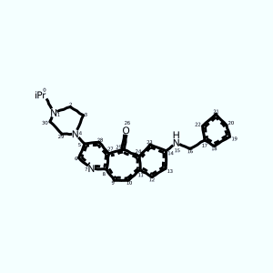 CC(C)N1CCN(c2cnc3ccc4ccc(NCc5ccccc5)cc4c(=O)c3c2)CC1